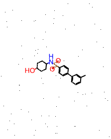 Cc1cccc(-c2ccc(S(=O)(=O)NC3CCC(O)CC3)cc2)c1